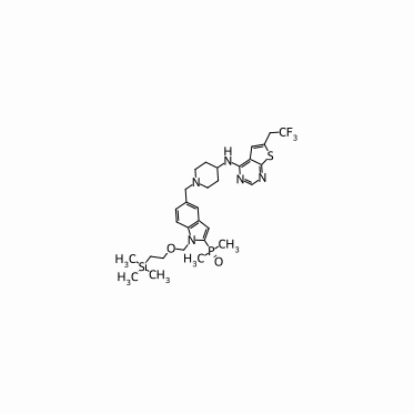 C[Si](C)(C)CCOCn1c(P(C)(C)=O)cc2cc(CN3CCC(Nc4ncnc5sc(CC(F)(F)F)cc45)CC3)ccc21